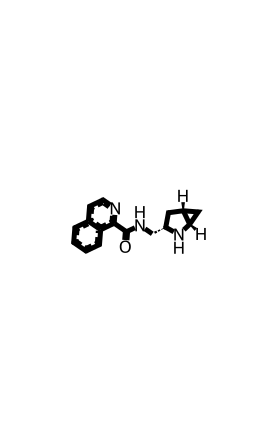 O=C(NC[C@@H]1C[C@@H]2C[C@@H]2N1)c1nccc2ccccc12